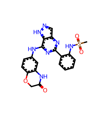 CS(=O)(=O)Nc1ccccc1-c1nc(Nc2ccc3c(c2)NC(=O)CO3)c2[nH]ncc2n1